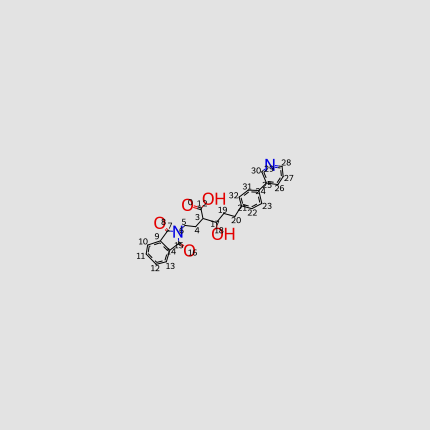 O=C(O)C(CCN1C(=O)c2ccccc2C1=O)C(O)CCc1ccc(-c2cccnc2)cc1